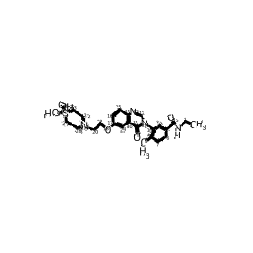 CCNC(=O)c1ccc(C)c(-n2cnc3ccc(OCCN4CCS(O)(O)CC4)cc3c2=O)c1